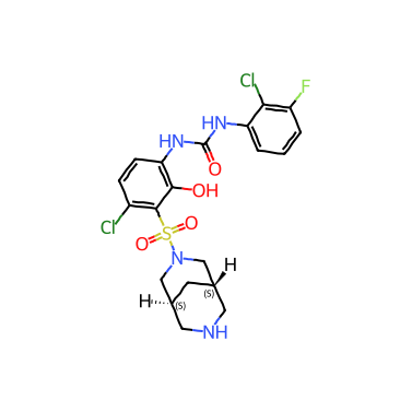 O=C(Nc1ccc(Cl)c(S(=O)(=O)N2C[C@@H]3CNC[C@H](C3)C2)c1O)Nc1cccc(F)c1Cl